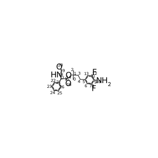 CC(C)(CCc1cc(F)c(N)c(F)c1)OC(=O)C(NC=O)c1ccccc1